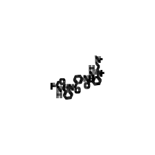 CN(C)CCCN(C)c1cccc(C(=O)Nc2cccc(C(=O)Nc3ccccc3C3COCC(F)N3)c2)c1N